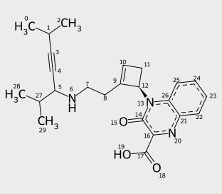 CC(C)C#CC(NCCC1=CC[C@H]1n1c(=O)c(C(=O)O)nc2ccccc21)C(C)C